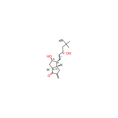 C=C1C[C@H]2[C@H](/C=C/[C@@H](O)CC(C)(C)CCC)[C@H](O)C[C@@H]2C1=O